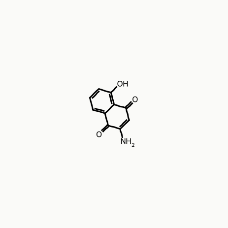 NC1=CC(=O)c2c(O)cccc2C1=O